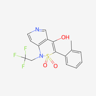 Cc1ccccc1C1=C(O)c2cnccc2N(CC(F)(F)F)S1(=O)=O